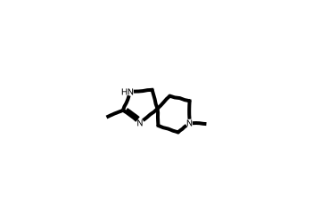 CC1=NC2(CCN(C)CC2)CN1